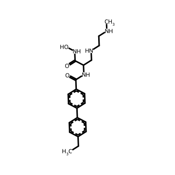 CCc1ccc(-c2ccc(C(=O)NC(CNCCNC)C(=O)NO)cc2)cc1